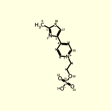 Cc1nc(-c2cc[n+](CCOS(=O)(=O)[O-])cc2)cs1